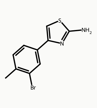 Cc1ccc(-c2csc(N)n2)cc1Br